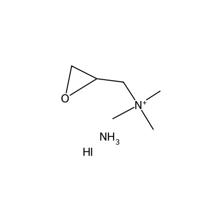 C[N+](C)(C)CC1CO1.I.N